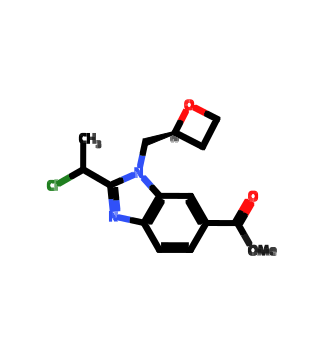 COC(=O)c1ccc2nc(C(C)Cl)n(C[C@@H]3CCO3)c2c1